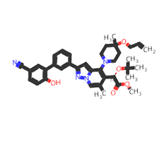 C=CCOC1(C)CCN(c2c([C@H](OC(C)(C)C)C(=O)OC)c(C)cn3nc(-c4cccc(-c5cc(C#N)ccc5O)c4)cc23)CC1